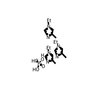 CCn1cnc(C)c1.CCn1cnc(C)c1.CCn1cnc(C)c1.O=P(O)(O)O